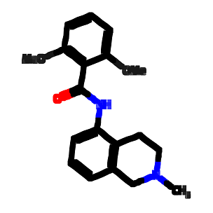 COc1cccc(OC)c1C(=O)Nc1cccc2c1CCN(C)C2